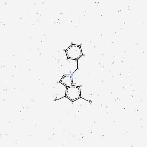 CC(C)c1cc(C(C)C)c2ccn(Cc3ccccc3)c2c1